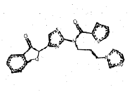 O=C1c2ccccc2OC1c1csc(N(CCCn2ccnc2)C(=O)c2cccs2)n1